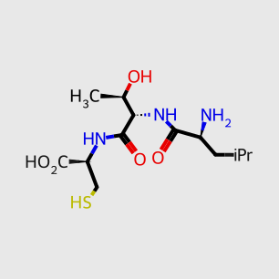 CC(C)C[C@H](N)C(=O)N[C@H](C(=O)N[C@@H](CS)C(=O)O)[C@@H](C)O